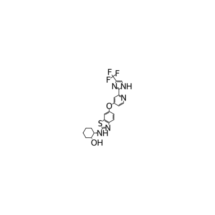 O[C@@H]1CCCC[C@H]1Nc1nc2ccc(Oc3ccnc(-c4nc(C(F)(F)F)c[nH]4)c3)cc2s1